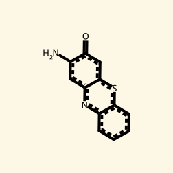 Nc1cc2nc3ccccc3sc-2cc1=O